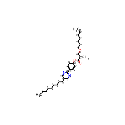 CCCCCCCCCc1cnc(-c2ccc(OC(=O)C(C)COCCCCCCC)cc2)nc1